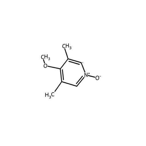 COc1c(C)[c][n+]([O-])cc1C